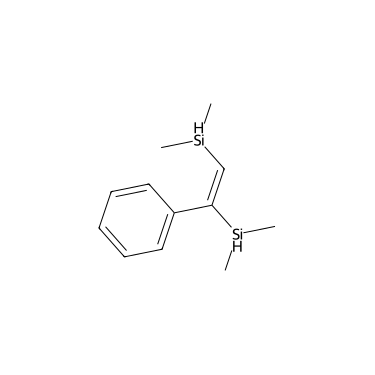 C[SiH](C)/C=C(\c1ccccc1)[SiH](C)C